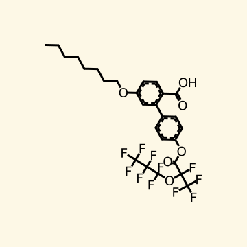 CCCCCCCCOc1ccc(C(=O)O)c(-c2ccc(OC(=O)C(F)(OC(F)(F)C(F)(F)C(F)(F)F)C(F)(F)F)cc2)c1